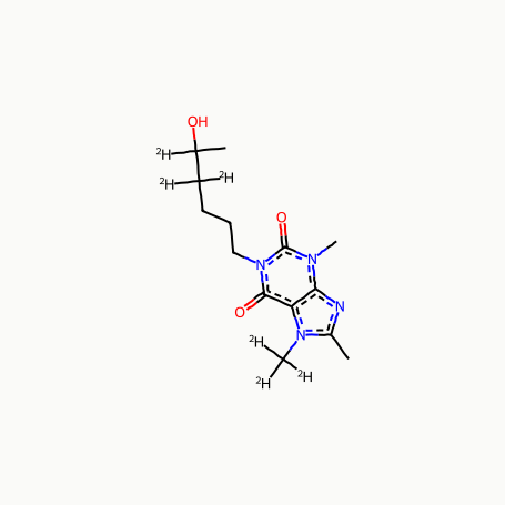 [2H]C([2H])([2H])n1c(C)nc2c1c(=O)n(CCCC([2H])([2H])C([2H])(C)O)c(=O)n2C